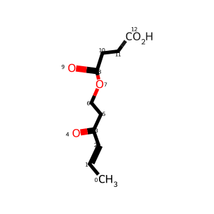 CC=CC(=O)CCOC(=O)CCC(=O)O